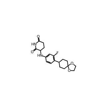 O=C1CCC(Nc2ccc(C3CCC4(CC3)OCCO4)c(F)c2)C(=O)N1